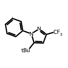 CC(C)(C)c1cc(C(F)(F)F)nn1-c1c[c]ccc1